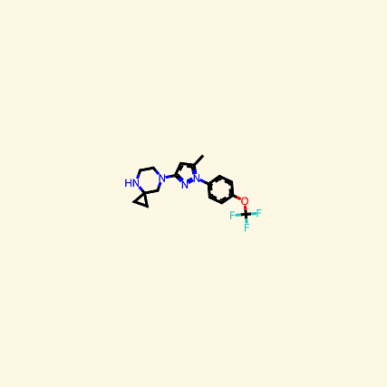 Cc1cc(N2CCNC3(CC3)C2)nn1-c1ccc(OC(F)(F)F)cc1